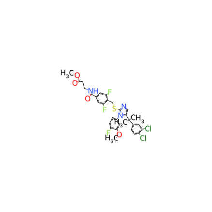 COC(=O)CCNC(=O)c1cc(F)c(CSc2ncc(C(C)(C)c3ccc(Cl)c(Cl)c3)n2-c2ccc(F)c(OC)c2)c(F)c1